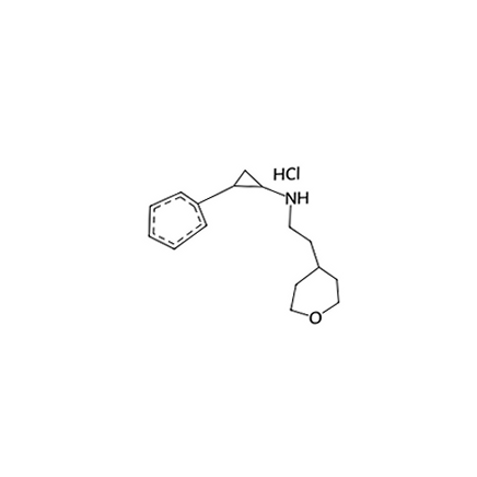 Cl.c1ccc(C2CC2NCCC2CCOCC2)cc1